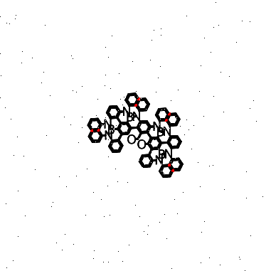 c1ccc(N2B3c4c(c5c6c7c4-c4c(cccc4N(c4ccccc4)B7N(c4ccccc4)c4cc7c8c(c4-6)C(O5)Oc4c5c6c9c(c4-8)B(N(c4ccccc4)c4cccc(c4-9)N(c4ccccc4)B6N(c4ccccc4)c4ccccc4-5)N7c4ccccc4)N3c3ccccc3)-c3ccccc32)cc1